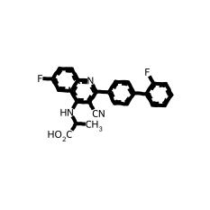 CC(Nc1c(C#N)c(-c2ccc(-c3ccccc3F)cc2)nc2ccc(F)cc12)C(=O)O